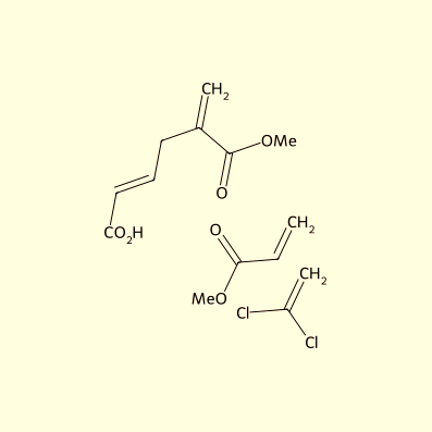 C=C(CC=CC(=O)O)C(=O)OC.C=C(Cl)Cl.C=CC(=O)OC